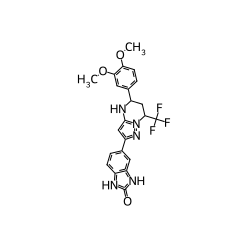 COc1ccc(C2CC(C(F)(F)F)n3nc(-c4ccc5[nH]c(=O)[nH]c5c4)cc3N2)cc1OC